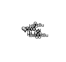 Cc1c(-c2cc(NC(=O)OC(C)(C)C)c3cnc(NC(=O)C4CC4CC#N)cc3c2)cncc1N(C(=O)OC(C)(C)C)C(=O)OC(C)(C)C